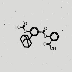 CC(=O)Oc1ccc(C(=O)Oc2ccccc2C(=O)O)cc1C12CC3CC(CC(C3)C1)C2